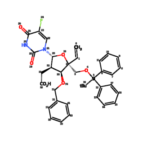 C=C[C@]1(CO[Si](c2ccccc2)(c2ccccc2)C(C)(C)C)O[C@@H](n2cc(F)c(=O)[nH]c2=O)[C@H](CC(=O)O)[C@@H]1OCc1ccccc1